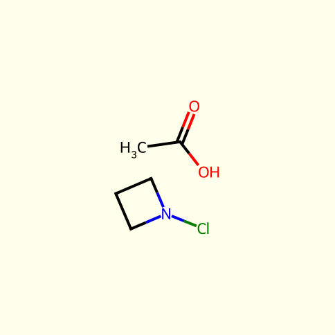 CC(=O)O.ClN1CCC1